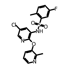 Cc1ccc(F)cc1S(=O)(=O)Nc1cc(Cl)cnc1Oc1cccnc1C